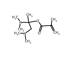 C=C(C)C(=O)OC(C)(CN(C)C)N(C)C